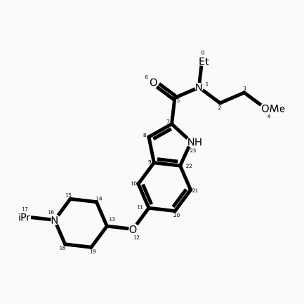 CCN(CCOC)C(=O)c1cc2cc(OC3CCN(C(C)C)CC3)ccc2[nH]1